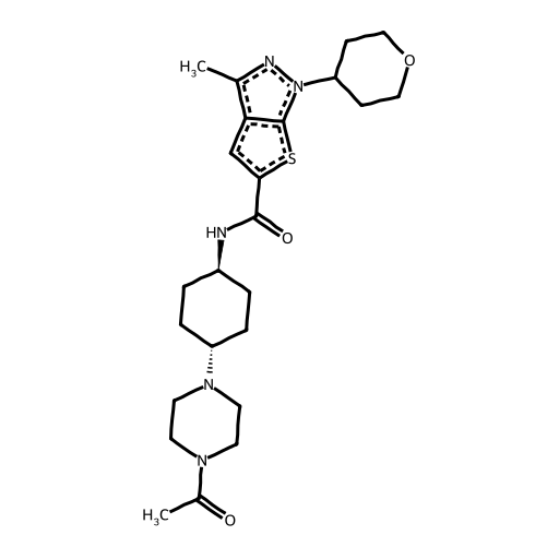 CC(=O)N1CCN([C@H]2CC[C@H](NC(=O)c3cc4c(C)nn(C5CCOCC5)c4s3)CC2)CC1